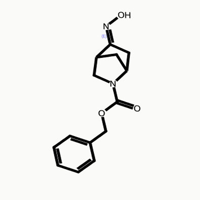 O=C(OCc1ccccc1)N1CC2CC1C/C2=N\O